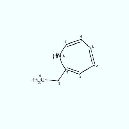 [CH2]CC1=CC=CC=CN1